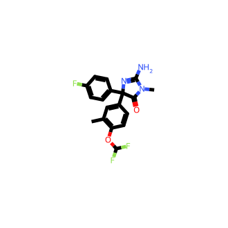 Cc1cc(C2(c3ccc(F)cc3)N=C(N)N(C)C2=O)ccc1OC(F)F